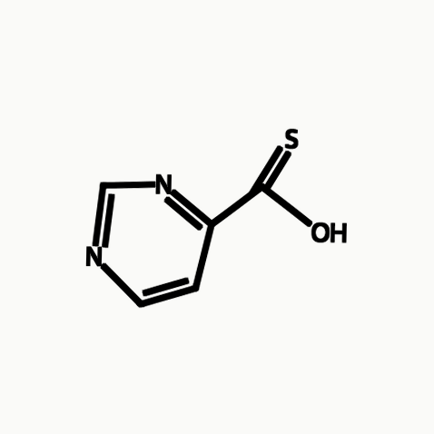 OC(=S)c1ccncn1